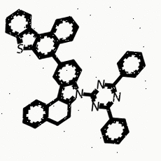 c1ccc(-c2nc(-c3ccccc3)nc(-n3c4c(c5cc(-c6cc7sc8ccccc8c7c7ccccc67)ccc53)-c3ccccc3CC4)n2)cc1